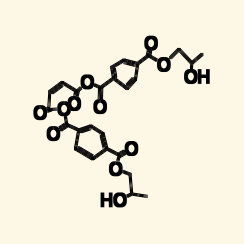 CC(O)COC(=O)c1ccc(C(=O)OC(=O)/C=C\C(=O)OC(=O)c2ccc(C(=O)OCC(C)O)cc2)cc1